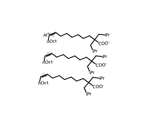 CCCCCCCC/C=C\CCCCCCC(CC(C)C)(CC(C)C)C(=O)[O-].CCCCCCCC/C=C\CCCCCCC(CC(C)C)(CC(C)C)C(=O)[O-].CCCCCCCC/C=C\CCCCCCC(CC(C)C)(CC(C)C)C(=O)[O-].[Al+3]